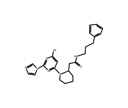 CC(C)c1cc(N2CCCCC2CC(=O)NCCCc2ccccc2)nc(-n2ccnc2)n1